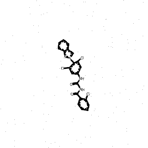 O=C(NC(=O)c1ccccc1Cl)Nc1cc(Cl)c(-n2cc3ccccc3n2)c(Cl)c1